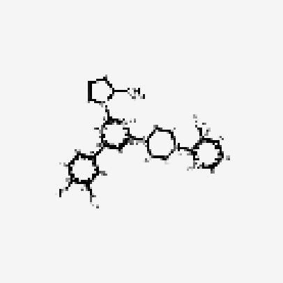 CC1CCCN1c1nc(-c2ccc(F)c(F)c2)cc(N2CCN(c3ncccc3C(F)(F)F)CC2)n1